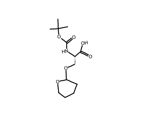 CC(C)(C)OC(=O)N[C@@H](COC1CCCCO1)C(=O)O